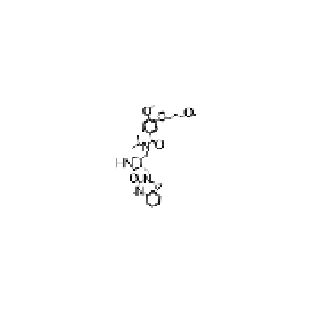 COCCCOc1cc(C(=O)N(C[C@@H]2CNC[C@H]2CN(C(=O)N(C)c2ccccc2)C2CC2)C(C)C)ccc1OC